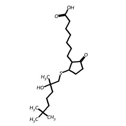 CC(C)(C)CCCC(C)(O)CSC1CCC(=O)C1CCCCCCC(=O)O